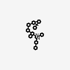 CC1(c2ccccc2)c2ccccc2-c2ccc(-c3cccc(-c4cccc(-c5ccc(-c6cc(-c7ccc(-c8ccccc8)cc7)nc(-c7ccccc7)n6)c6ccccc56)c4)c3)cc21